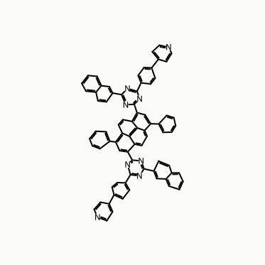 c1ccc(-c2cc(-c3nc(-c4ccc(-c5ccncc5)cc4)nc(-c4ccc5ccccc5c4)n3)c3ccc4c(-c5ccccc5)cc(-c5nc(-c6ccc(-c7ccncc7)cc6)nc(-c6ccc7ccccc7c6)n5)c5ccc2c3c45)cc1